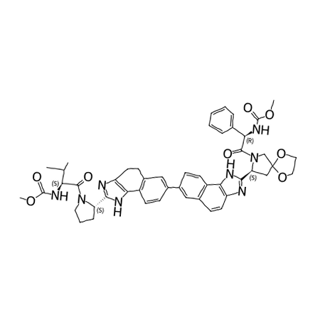 COC(=O)N[C@H](C(=O)N1CCC[C@H]1c1nc2c([nH]1)-c1ccc(-c3ccc4c(ccc5nc([C@@H]6CC7(CN6C(=O)[C@H](NC(=O)OC)c6ccccc6)OCCO7)[nH]c54)c3)cc1CC2)C(C)C